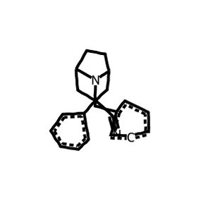 N#CC1(c2ccccc2)CC2CCC(C1)N2Cc1ccccc1